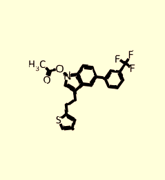 CC(=O)On1cc(CCc2cccs2)c2cc(-c3cccc(C(F)(F)F)c3)ccc21